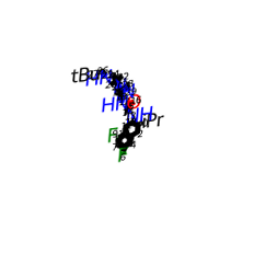 CC(C)C1Cc2cc(F)cc(F)c2C[C@H]1NCC(=O)Nc1cn(C(C)(C)CNCC(C)(C)C)cn1